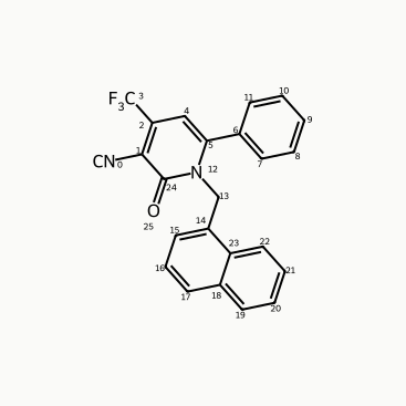 [C-]#[N+]c1c(C(F)(F)F)cc(-c2ccccc2)n(Cc2cccc3ccccc23)c1=O